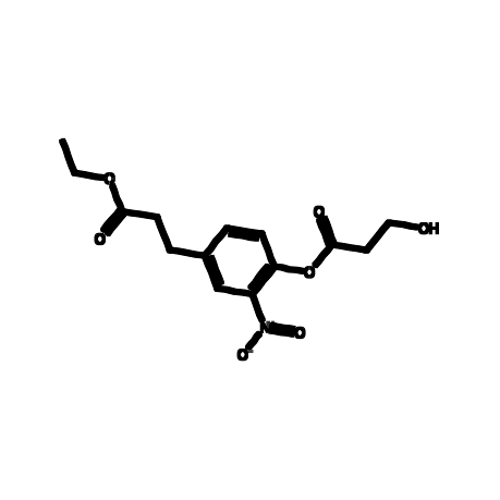 CCOC(=O)CCc1ccc(OC(=O)CCO)c([N+](=O)[O-])c1